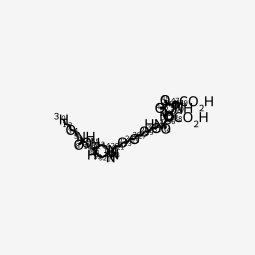 [3H]CCOCCNC(=O)OC[C@@H]1[C@@H]2CCc3c(nnn3CCOCCOCCOCCONC(=O)c3cc(C(=O)O)c4c(n3)C(=O)C(=O)c3cc(C(=O)O)[nH]c3-4)CC[C@@H]21